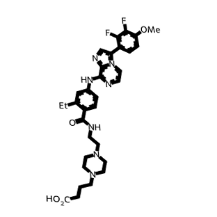 CCc1cc(Nc2nccn3c(-c4ccc(OC)c(F)c4F)cnc23)ccc1C(=O)NCCN1CCN(CCCC(=O)O)CC1